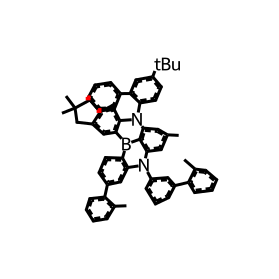 Cc1cc2c3c(c1)N(c1ccc(C(C)(C)C)cc1-c1ccccc1)c1cc4c(cc1B3c1ccc(-c3ccccc3C)cc1N2c1cccc(-c2ccccc2C)c1)CC(C)(C)C4